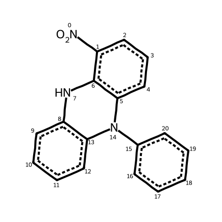 O=[N+]([O-])c1cccc2c1Nc1ccccc1N2c1ccccc1